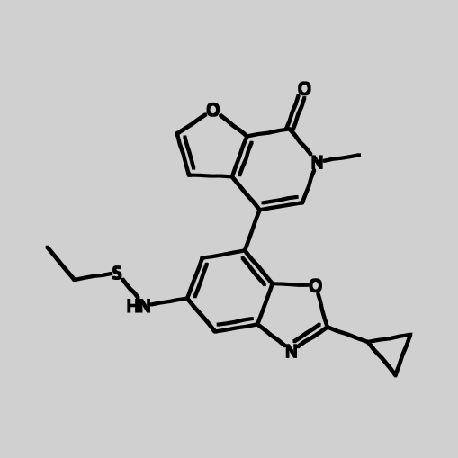 CCSNc1cc(-c2cn(C)c(=O)c3occc23)c2oc(C3CC3)nc2c1